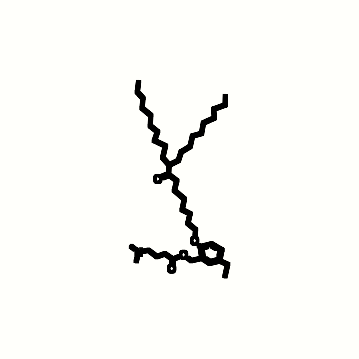 CCCCCCCCCCC(CCCCCCCCCC)C(=O)CCCCCCCOc1ccc(CC)cc1COC(=O)CCCN(C)C